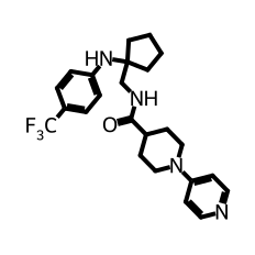 O=C(NCC1(Nc2ccc(C(F)(F)F)cc2)CCCC1)C1CCN(c2ccncc2)CC1